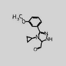 COc1cccc(C2=NNC(C=O)N2C2CC2)c1